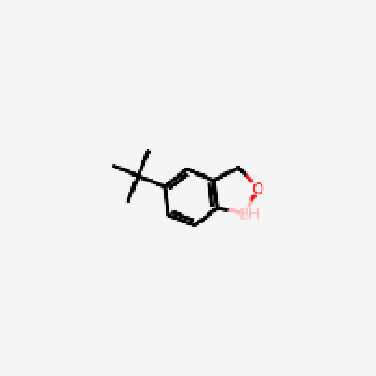 CC(C)(C)c1ccc2c(c1)COB2